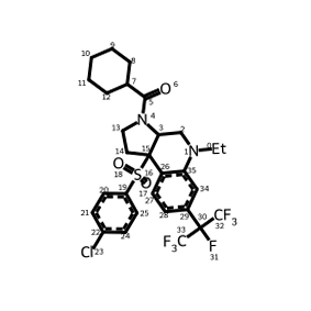 CCN1CC2N(C(=O)C3CCCCC3)CCC2(S(=O)(=O)c2ccc(Cl)cc2)c2ccc(C(F)(C(F)(F)F)C(F)(F)F)cc21